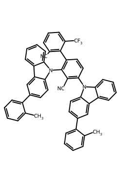 Cc1ccccc1-c1ccc2c(c1)c1ccccc1n2-c1ccc(-c2c(C#N)cccc2C(F)(F)F)c(-n2c3ccccc3c3cc(-c4ccccc4C)ccc32)c1C#N